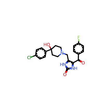 O=C(c1ccc(F)cc1)c1[nH]c(=O)[nH]c1CN1CCC(O)(c2ccc(Cl)cc2)CC1